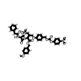 COc1ccc(COC(=O)C2=C(COc3ccc(COC(=O)Oc4ccc([N+](=O)[O-])cc4)cc3)CS(=O)(=O)C3C(NC(=O)Cc4ccccc4)C(=O)N23)cc1